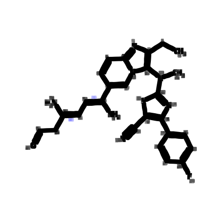 CCc1nc2ccc(/C(N)=C/C=C(\N)CC=O)cn2c1N(C)c1nc(-c2ccc(F)cc2)c(C#N)s1